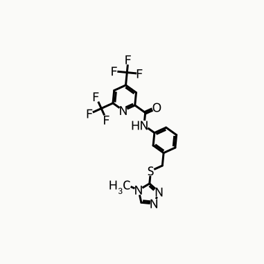 Cn1cnnc1SCc1cccc(NC(=O)c2cc(C(F)(F)F)cc(C(F)(F)F)n2)c1